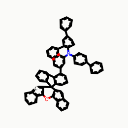 c1ccc(-c2ccc(N(c3cccc(-c4cccc5c4-c4ccccc4C54c5ccc6ccccc6c5Oc5c4ccc4ccccc54)c3)c3ccc(-c4ccccc4)cc3-c3ccccc3)cc2)cc1